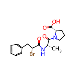 C[C@H](NC(=O)[C@H](Br)Cc1ccccc1)C(=O)N1CCC[C@H]1C(=O)O